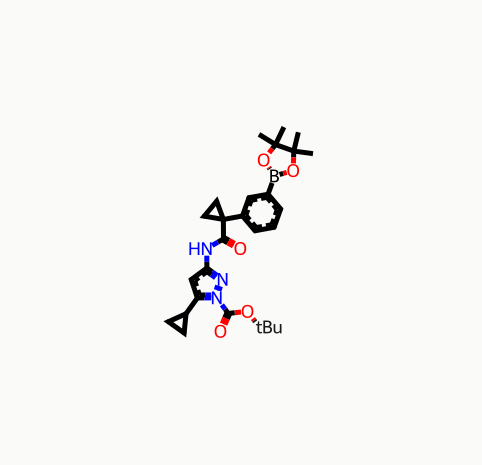 CC(C)(C)OC(=O)n1nc(NC(=O)C2(c3cccc(B4OC(C)(C)C(C)(C)O4)c3)CC2)cc1C1CC1